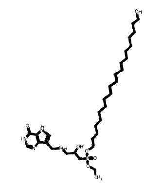 CCOP(=O)(CC(O)CNCc1c[nH]c2c(=O)[nH]cnc12)OCCCCCCCCCCCCCCCCCCCCCO